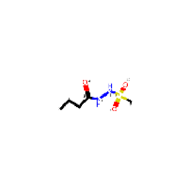 CCCC(=O)NNS(C)(=O)=O